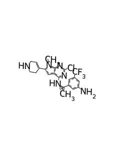 C[C@@H](Nc1nc(Cl)nc2c1cc(C1=CCNCC1)n2C)c1cc(N)cc(C(F)(F)F)c1